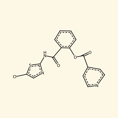 O=C(Oc1ccccc1C(=O)Nc1ncc(Cl)s1)c1ccncc1